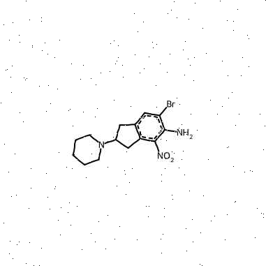 Nc1c(Br)cc2c(c1[N+](=O)[O-])CC(N1CCCCC1)C2